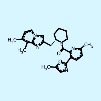 Cc1ccc(-c2ncc(C)o2)c(C(=O)N2CCCC[C@H]2Cc2cn3ccc(C)c(C)c3n2)n1